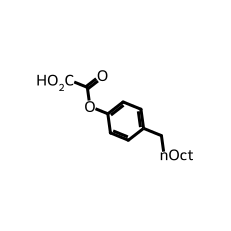 CCCCCCCCCc1ccc(OC(=O)C(=O)O)cc1